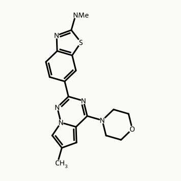 CNc1nc2ccc(-c3nc(N4CCOCC4)c4cc(C)cn4n3)cc2s1